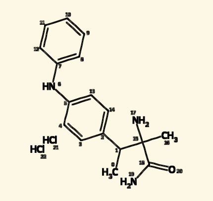 CC(c1ccc(Nc2ccccc2)cc1)C(C)(N)C(N)=O.Cl.Cl